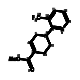 COC(=O)C1=CCN(c2ncccc2C(F)(F)F)CC1